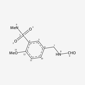 CNS(=O)(=O)c1cc(CNC=O)ccc1OC